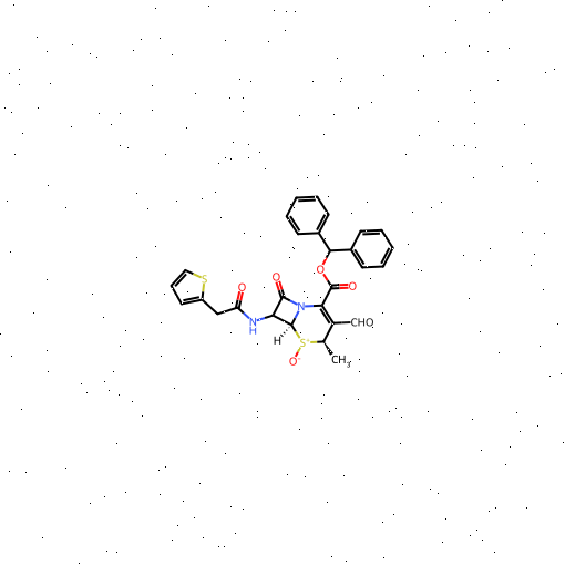 C[C@@H]1C(C=O)=C(C(=O)OC(c2ccccc2)c2ccccc2)N2C(=O)C(NC(=O)Cc3cccs3)[C@@H]2[S+]1[O-]